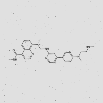 CNCCN(C)c1ccc(-c2cc(NC[C@@H](C)c3cccc4c(C(=O)NC)ccnc34)ncn2)cn1